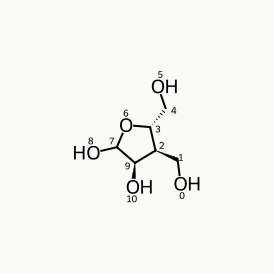 OC[C@@H]1[C@@H](CO)OC(O)[C@@H]1O